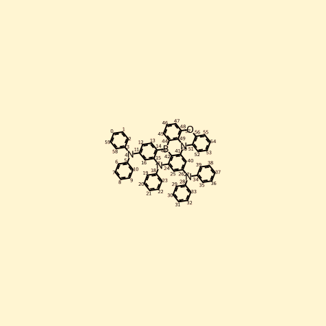 c1ccc(N(c2ccccc2)c2ccc3c(c2)N(c2ccccc2)c2cc(N(c4ccccc4)c4ccccc4)cc4c2B3c2cccc3c2N4c2ccccc2O3)cc1